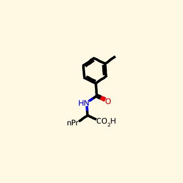 CCCC(NC(=O)c1cccc(C)c1)C(=O)O